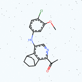 COc1cc(Nc2cnc(C(C)=O)c3c2C2CCC3CC2)ccc1Cl